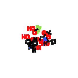 CN1CC[C@]23c4c5ccc(O)c4O[C@H]2C(OC(=O)CC(NC(=O)C(O)c2ccccc2)C(=O)OC(C)(C)C)=CC[C@@]3(O)[C@H]1C5.O=C(O)C(F)(F)F